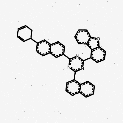 C1=CCC(c2ccc3cc(-c4nc(-c5cccc6ccccc56)nc(-c5cccc6oc7ccccc7c56)n4)ccc3c2)C=C1